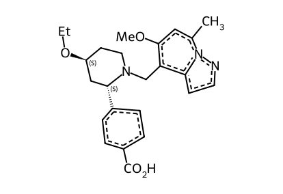 CCO[C@H]1CCN(Cc2c(OC)cc(C)n3nccc23)[C@H](c2ccc(C(=O)O)cc2)C1